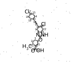 Cc1ccc(Oc2nc3cc(C#Cc4ccc(Cl)cc4)c(Cl)cc3[nH]2)cc1C(=O)O